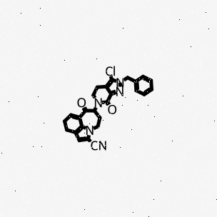 N#Cc1cc2c3n1CCC(N1CCc4c(nn(Cc5ccccc5)c4Cl)C1=O)C(=O)C3=CCC2